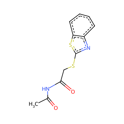 CC(=O)NC(=O)CSc1nc2ccccc2s1